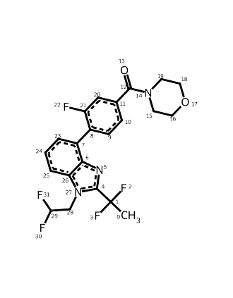 CC(F)(F)c1nc2c(-c3ccc(C(=O)N4CCOCC4)cc3F)cccc2n1CC(F)F